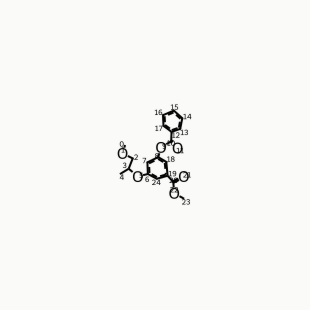 COCC(C)Oc1cc(OC(=O)c2ccccc2)cc(C(=O)OC)c1